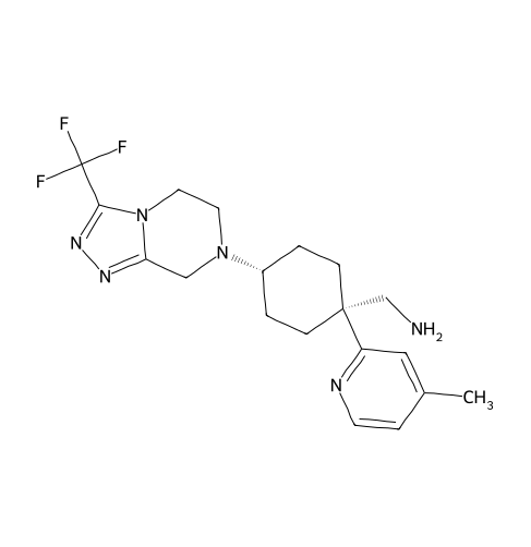 Cc1ccnc([C@]2(CN)CC[C@@H](N3CCn4c(nnc4C(F)(F)F)C3)CC2)c1